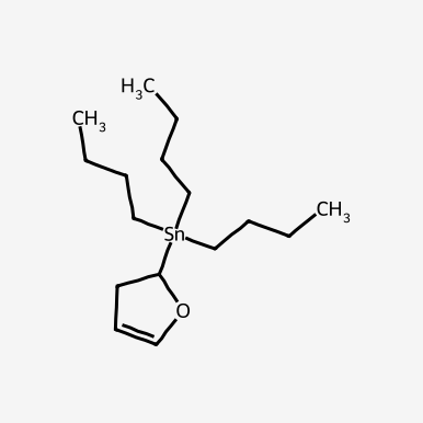 CCC[CH2][Sn]([CH2]CCC)([CH2]CCC)[CH]1CC=CO1